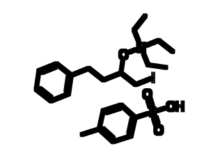 CC[Si](CC)(CC)OC(CI)CCc1ccccc1.Cc1ccc(S(=O)(=O)O)cc1